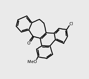 COc1ccc2c(c1)c1c(c3cc(Cl)ccc32)CCc2ccccc2C1=O